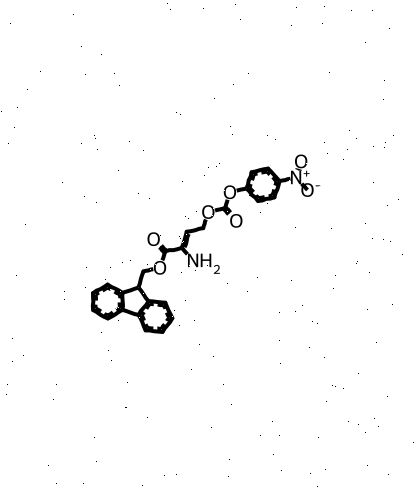 NC(=CCOC(=O)Oc1ccc([N+](=O)[O-])cc1)C(=O)OCC1c2ccccc2-c2ccccc21